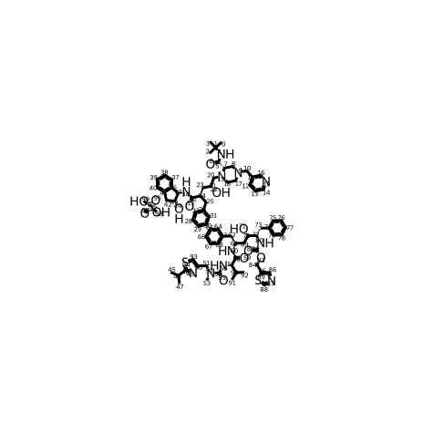 CC(C)(C)NC(=O)[C@@H]1CN(Cc2cccnc2)CCN1C[C@@H](O)C[C@@H](Cc1ccccc1)C(=O)N[C@H]1c2ccccc2C[C@H]1O.CC(C)c1nc(CN(C)C(=O)N[C@H](C(=O)N[C@@H](Cc2ccccc2)C[C@H](O)[C@H](Cc2ccccc2)NC(=O)OCc2cncs2)C(C)C)cs1.O=S(=O)(O)O